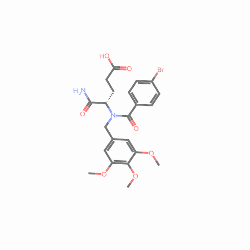 COc1cc(CN(C(=O)c2ccc(Br)cc2)[C@@H](CCC(=O)O)C(N)=O)cc(OC)c1OC